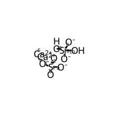 O=S(=O)([O-])[O-].[Ca+2].[Ca+2].[O-][Si]([O-])(O)O